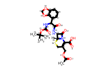 CC(=O)OCC1=C(C(=O)O)N2C(=O)[C@@H](NC(=O)C(NC(=O)OC(C)(C)C)c3cccc4c3OCO4)[C@H]2SC1